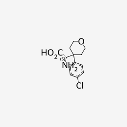 N[C@H](C(=O)O)C1(c2ccc(Cl)cc2)CCOCC1